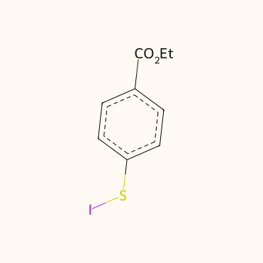 CCOC(=O)c1ccc(SI)cc1